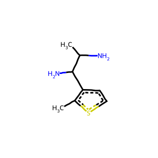 Cc1sccc1C(N)C(C)N